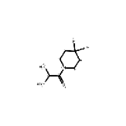 CSC(C)C(=O)N1CCC(F)(F)CC1